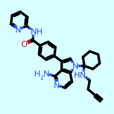 C#CCCNC1(n2cc(-c3ccc(C(=O)Nc4ccccn4)cc3)c3c(N)nccc32)CCCCC1